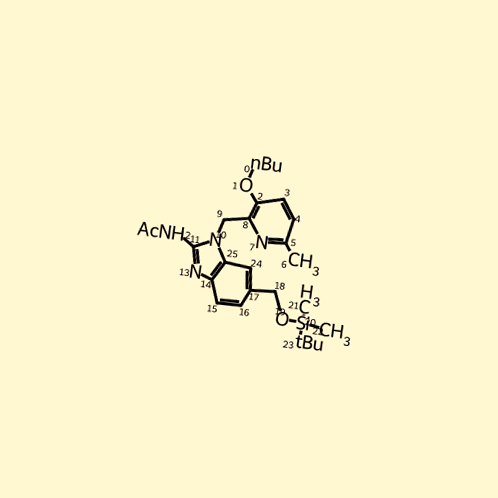 CCCCOc1ccc(C)nc1Cn1c(NC(C)=O)nc2ccc(CO[Si](C)(C)C(C)(C)C)cc21